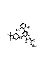 CC(C)(C)OC(=O)N1Cc2nc(-c3c(F)cccc3C#N)cc(Nc3ccc4c(n3)OCC4(C)C)c2C1=O